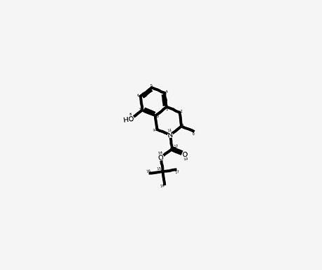 CC1Cc2cccc(O)c2CN1C(=O)OC(C)(C)C